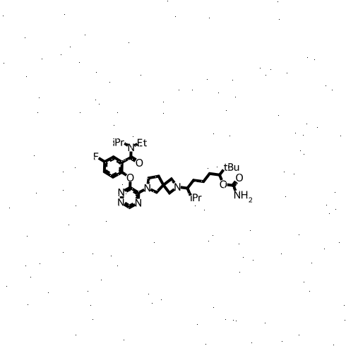 CCN(C(=O)c1cc(F)ccc1Oc1nncnc1N1CCC2(C1)CN(C(CCCC(OC(N)=O)C(C)(C)C)C(C)C)C2)C(C)C